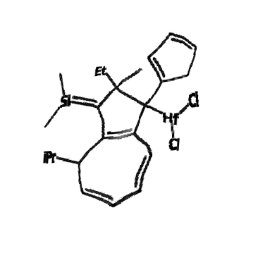 CCC1(C)C(=[Si](C)C)C2=C(C=CC=CC2C(C)C)[C]1(C1=CC=CC1)[Hf]([Cl])[Cl]